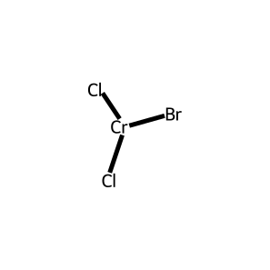 [Cl][Cr]([Cl])[Br]